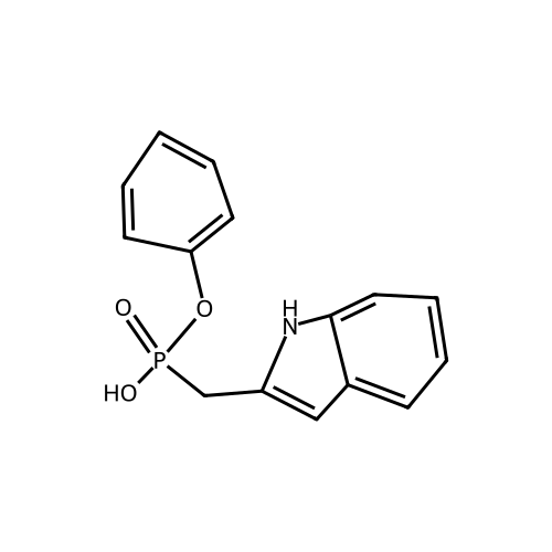 O=P(O)(Cc1cc2ccccc2[nH]1)Oc1ccccc1